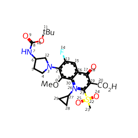 COc1c(N2CCC(NC(=O)OC(C)(C)C)C2)c(F)cc2c(=O)c(C(=O)O)c(S(C)(=O)=O)n(C3CC3)c12